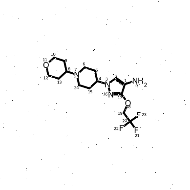 Nc1cn(C2CCN(C3CCOCC3)CC2)nc1OCC(F)(F)F